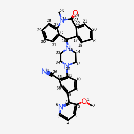 COc1cccnc1-c1ccc(N2CCN(C3c4ccccc4C(=O)N(C)c4ccccc43)CC2)c(C#N)c1